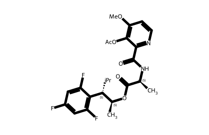 COc1ccnc(C(=O)N[C@@H](C)C(=O)O[C@@H](C)[C@H](c2c(F)cc(F)cc2F)C(C)C)c1OC(C)=O